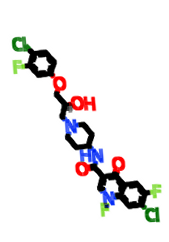 O=C(NC1CCN(C[C@H](O)COc2ccc(Cl)c(F)c2)CC1)c1cn(F)c2cc(Cl)c(F)cc2c1=O